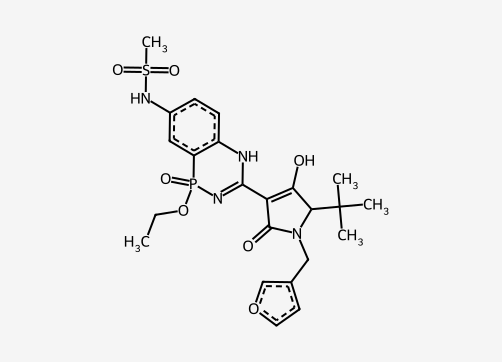 CCOP1(=O)N=C(C2=C(O)C(C(C)(C)C)N(Cc3ccoc3)C2=O)Nc2ccc(NS(C)(=O)=O)cc21